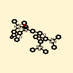 c1ccc(-c2nc(-c3ccccc3)nc(-c3ccc4c(c3)Oc3ccc(-c5ccc(-c6nc(-c7ccccc7)nc(-c7ccc8c(c7)Oc7ccccc7C87c8ccccc8-c8ccc(-c9nc(-c%10ccccc%10)nc(-c%10ccccc%10)n9)cc87)n6)cc5)cc3C43c4ccccc4-c4cc(-c5nc(-c6ccccc6)nc(-c6ccccc6)n5)ccc43)n2)cc1